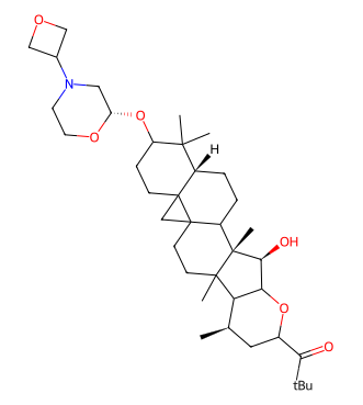 C[C@@H]1CC(C(=O)C(C)(C)C)OC2C1C1(C)CCC34CC35CCC(O[C@H]3CN(C6COC6)CCO3)C(C)(C)[C@@H]5CCC4[C@]1(C)[C@H]2O